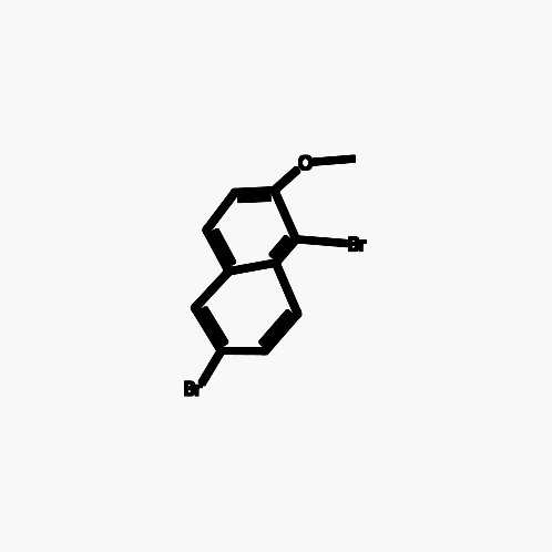 COc1ccc2cc(Br)ccc2c1Br